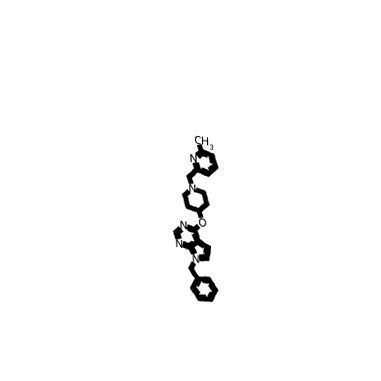 Cc1cccc(CN2CCC(Oc3ncnc4c3ccn4Cc3ccccc3)CC2)n1